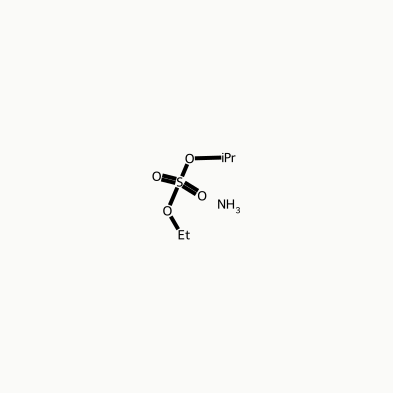 CCOS(=O)(=O)OC(C)C.N